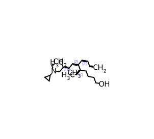 C=C\C=C/C(=C/C(C)=C(\C)CN(C=C)C1CC1)C(=C\C)/CCCCO